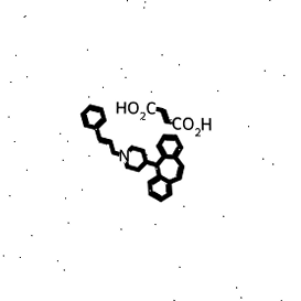 C(=Cc1ccccc1)CN1CCC(C2c3ccccc3C=Cc3ccccc32)CC1.O=C(O)C=CC(=O)O